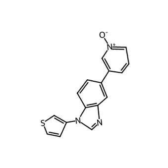 [O-][n+]1cccc(-c2ccc3c(c2)ncn3-c2ccsc2)c1